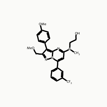 COCc1nn2c(-c3cccc(C(F)(F)F)c3)cc(N(C)CCO)nc2c1-c1ccc(OC)cc1